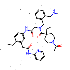 CCc1ccc(NC(=O)CN(Cc2ccccc2CNC)C(=O)C2(CC)CCN(C(C)=O)CC2)cc1CC(=O)Nc1ccccn1